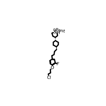 CCCCC[SiH]1CCC([C@H]2CC[C@H](CCCCc3ccc(OCCCCl)c(F)c3)CC2)CC1